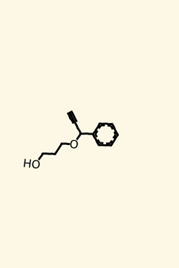 C#CC(OCCCO)c1ccccc1